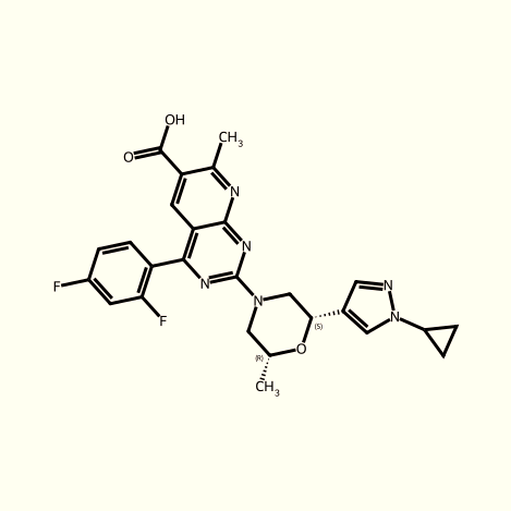 Cc1nc2nc(N3C[C@@H](C)O[C@@H](c4cnn(C5CC5)c4)C3)nc(-c3ccc(F)cc3F)c2cc1C(=O)O